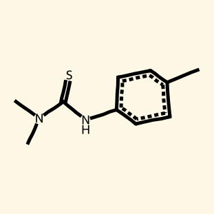 Cc1ccc(NC(=S)N(C)C)cc1